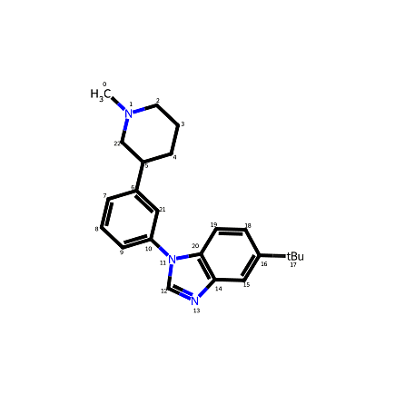 CN1CCCC(c2cccc(-n3cnc4cc(C(C)(C)C)ccc43)c2)C1